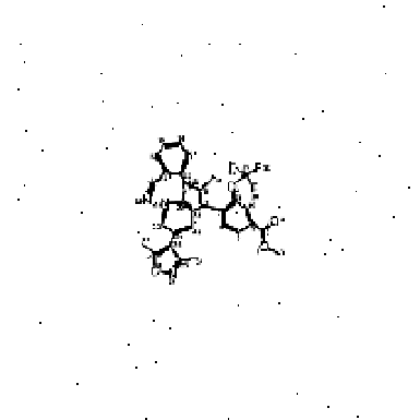 COC(=O)c1ccc(-c2c(C)n(-c3ncccc3C#N)c3ncc(-c4c(C)noc4C)cc23)c(OC(F)(F)F)c1